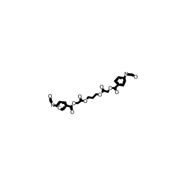 O=C=Nc1ccc(C(=O)OCC(=O)OCCCOC(=O)COC(=O)c2ccc(N=C=O)cc2)cc1